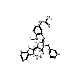 CCNc1ccc(NC(=O)C(F)(F)F)cc1/N=C1\S/C(=C2\Sc3ccccc3N2C)C(=O)N1Cc1ccccc1